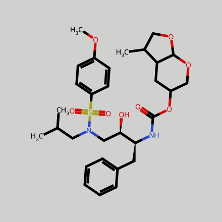 COc1ccc(S(=O)(=O)N(CC(C)C)C[C@@H](O)[C@H](Cc2ccccc2)NC(=O)OC2COC3OCC(C)C3C2)cc1